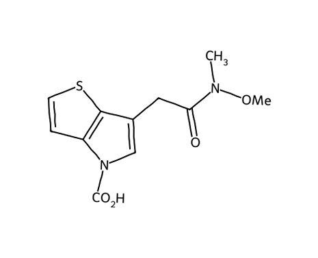 CON(C)C(=O)Cc1cn(C(=O)O)c2ccsc12